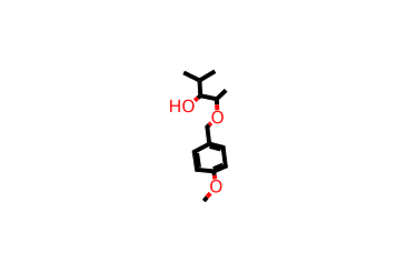 COc1ccc(COC(C)C(O)C(C)C)cc1